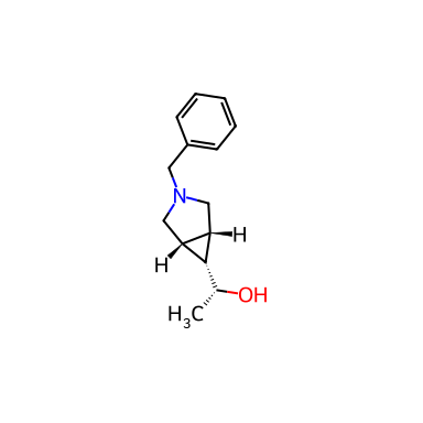 C[C@@H](O)[C@@H]1[C@@H]2CN(Cc3ccccc3)C[C@@H]21